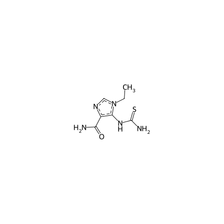 CCn1cnc(C(N)=O)c1NC(N)=S